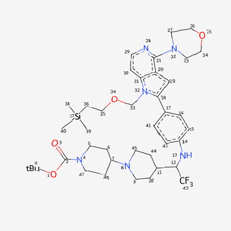 CC(C)(C)OC(=O)N1CCC(N2CCC(C(Nc3ccc(-c4cc5c(N6CCOCC6)nccc5n4COCC[Si](C)(C)C)cc3)C(F)(F)F)CC2)CC1